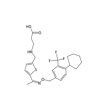 CC(=NOCc1ccc(C2CCCCC2)c(C(F)(F)F)c1)c1ccc(CNCCC(=O)O)s1